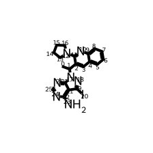 CC(c1cc2ccccc2nc1N1CCCC1)n1nc(I)c2c(N)ncnc21